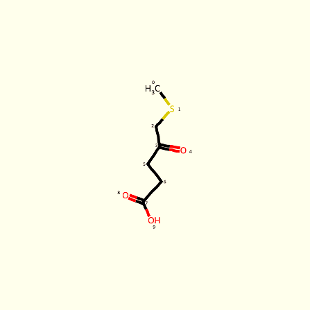 CSCC(=O)CCC(=O)O